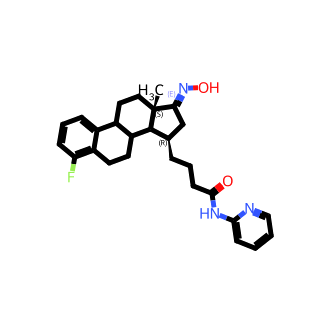 C[C@]12CCC3c4cccc(F)c4CCC3C1[C@H](CCCC(=O)Nc1ccccn1)C/C2=N\O